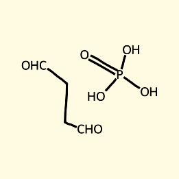 O=CCCC=O.O=P(O)(O)O